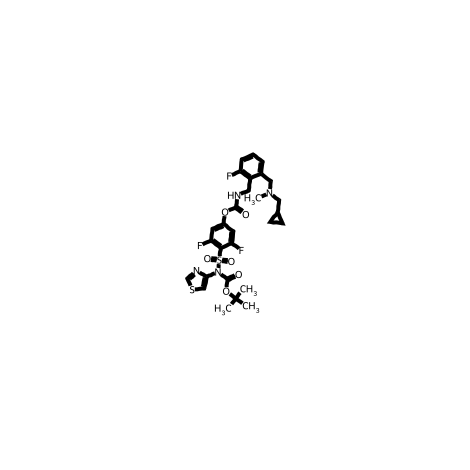 CN(Cc1cccc(F)c1CNC(=O)Oc1cc(F)c(S(=O)(=O)N(C(=O)OC(C)(C)C)c2cscn2)c(F)c1)CC1CC1